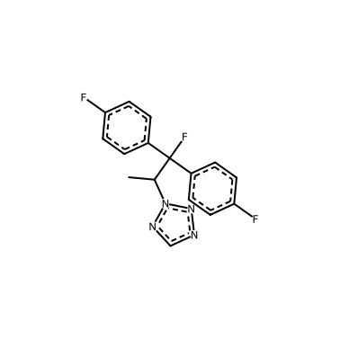 CC(n1ncnn1)C(F)(c1ccc(F)cc1)c1ccc(F)cc1